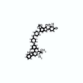 CC(C)(F)CN1CCc2c([nH]c3ccccc23)C1c1c(F)cc(N2CCC(CN3CCN(c4cc5c(c6c4OCO6)C(=O)N(C4CCC(=O)NC4=O)C5)CC3)CC2)cc1F